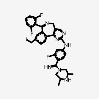 CC1CN(C(=N)c2ccc(Nc3ncc4c(n3)-c3ccc(CI)cc3C(c3c(F)cccc3F)=NC4)cc2F)CC(C)N1